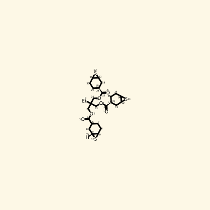 CCC(COC(=O)C1CCC2S[C@@H]2C1)(COC(=O)[C@H]1CCC2SC2C1)COC(=O)[C@H]1CCC2SC2C1